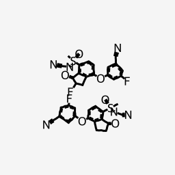 CS(=O)(=NC#N)c1ccc(Oc2cc(F)cc(C#N)c2)c2c1C(=O)C(F)C2.CS(=O)(=NC#N)c1ccc(Oc2cc(F)cc(C#N)c2)c2c1C(=O)CC2